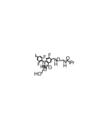 CC(C)C(=O)NCCONCc1cc(C(=O)NOCCO)c(Nc2ccc(I)cc2F)c(F)c1F